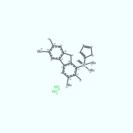 Cl.Cl.[CH2]=[Zr]([CH2]CCC)([CH2]CCC)([C]1=CC=CC1)[c]1c(C)c(C(C)(C)C)cc2c1Cc1cc(C)c(C(C)(C)C)cc1-2